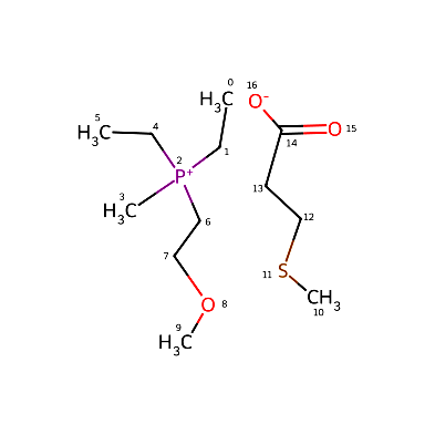 CC[P+](C)(CC)CCOC.CSCCC(=O)[O-]